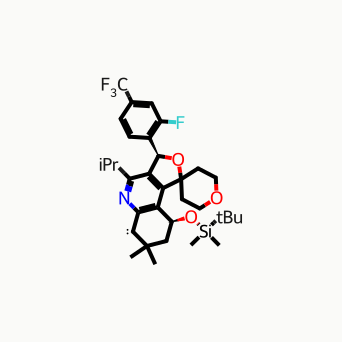 CC(C)c1nc2c(c3c1[C@@H](c1ccc(C(F)(F)F)cc1F)OC31CCOCC1)[C@@H](O[Si](C)(C)C(C)(C)C)CC(C)(C)[C]2